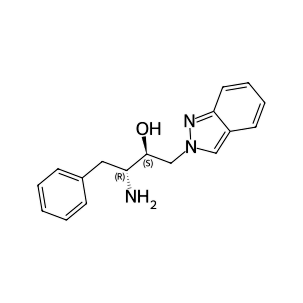 N[C@H](Cc1ccccc1)[C@@H](O)Cn1cc2ccccc2n1